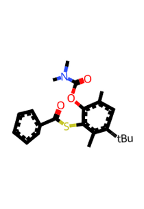 Cc1cc(C(C)(C)C)c(C)c(SC(=O)c2ccccc2)c1OC(=O)N(C)C